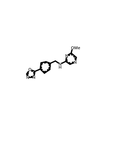 COc1cncc(NCc2ccc(-c3nnco3)cc2)n1